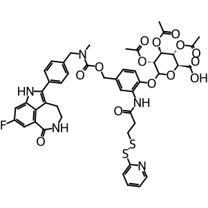 CC(=O)O[C@H]1[C@H](OC(C)=O)[C@@H](OC(C)=O)C(Oc2ccc(COC(=O)N(C)Cc3ccc(-c4[nH]c5cc(F)cc6c5c4CCNC6=O)cc3)cc2NC(=O)CCSSc2ccccn2)O[C@@H]1C(=O)O